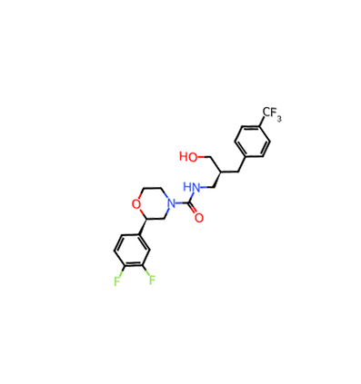 O=C(NC[C@@H](CO)Cc1ccc(C(F)(F)F)cc1)N1CCO[C@H](c2ccc(F)c(F)c2)C1